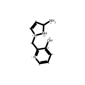 NC1C=CN(Cc2ncccc2O)N1